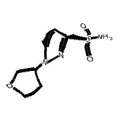 NS(=O)(=O)c1ccn(C2CCOC2)n1